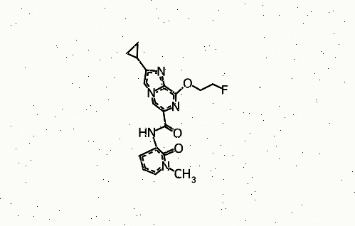 Cn1cccc(NC(=O)c2cn3cc(C4CC4)nc3c(OCCF)n2)c1=O